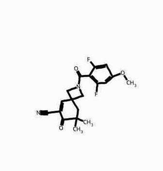 COc1cc(F)c(C(=O)N2CC3(C=C(C#N)C(=O)C(C)(C)C3)C2)c(F)c1